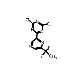 CC(F)(F)c1cncc(-c2nc(Cl)nc(Cl)n2)n1